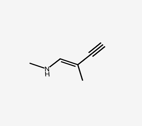 C#C/C(C)=C/NC